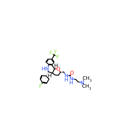 CN(C)CCNC(=O)NC[C@H]1CC[C@@H]2[C@H](O1)c1cc(C(F)(F)F)ccc1N[C@H]2C1C=CC(F)=CC1